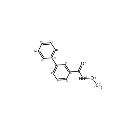 O=C(NOC(F)(F)F)c1cccc(-c2ccccc2)c1